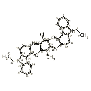 CCn1c2ccccc2c2c3c(ccc21)N=c1c(C)c2c(c(Cl)c1O3)=Nc1ccc3c(c1O2)c1ccccc1n3CC